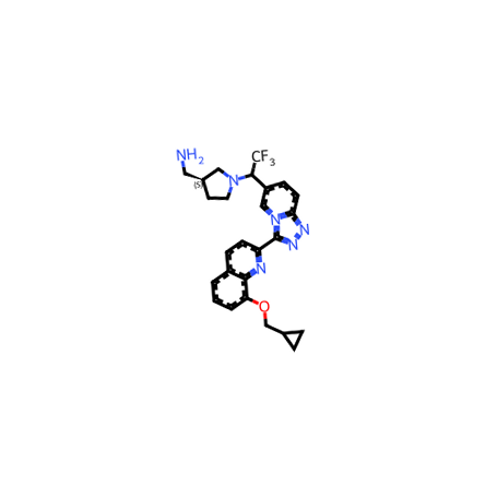 NC[C@@H]1CCN(C(c2ccc3nnc(-c4ccc5cccc(OCC6CC6)c5n4)n3c2)C(F)(F)F)C1